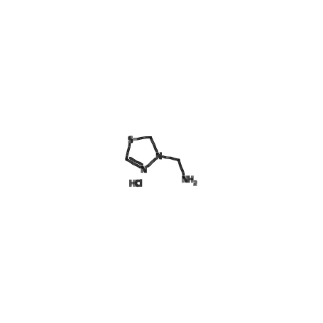 Cl.NCN1CSC=N1